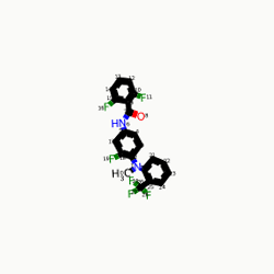 CN(c1ccc(NC(=O)c2c(F)cccc2F)cc1F)c1ccccc1C(F)(F)F